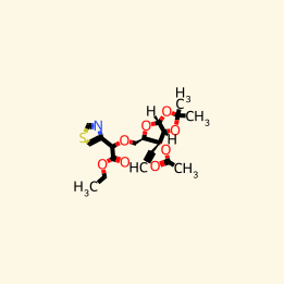 C#C[C@@]1(OC(C)=O)[C@@H](COC(C(=O)OCC)c2cscn2)O[C@@H]2OC(C)(C)O[C@@H]21